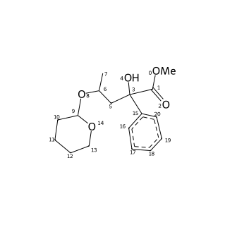 COC(=O)C(O)(CC(C)OC1CCCCO1)c1ccccc1